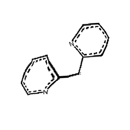 [C](c1ccccn1)c1ccccn1